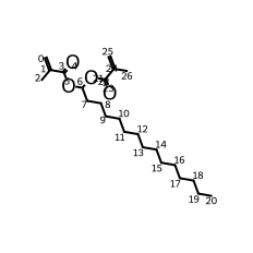 C=C(C)C(=O)OC(CCCCCCCCCCCCCC)OC(=O)C(=C)C